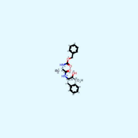 CC[C@H](C)[C@H](NC(=O)OCc1ccccc1)C(=O)N[C@@H](Cc1ccccc1)[C@@H](O)C(=O)O